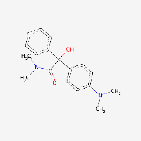 CN(C)C(=O)C(O)(c1ccccc1)c1ccc(N(C)C)cc1